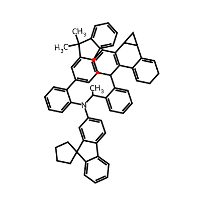 CC(c1ccccc1C1CC=CC2=C1C1=CCCC=C1C1CC21)N(c1ccc2c(c1)C1(CCCC1)c1ccccc1-2)c1ccccc1-c1ccc2c(c1)C(C)(C)c1ccccc1-2